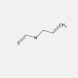 C=CC[N]C=S